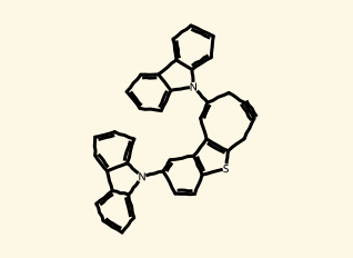 C1#CCc2sc3ccc(-n4c5ccccc5c5ccccc54)cc3c2/C=C(/n2c3ccccc3c3ccccc32)C1